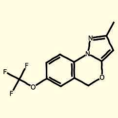 Cc1cc2n(n1)-c1ccc(OC(F)(F)F)cc1CO2